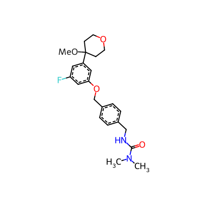 COC1(c2cc(F)cc(OCc3ccc(CNC(=O)N(C)C)cc3)c2)CCOCC1